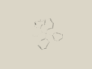 CC(=O)OC(c1c[nH]cn1)C(c1ccccc1)(c1ccccc1)c1ccccc1